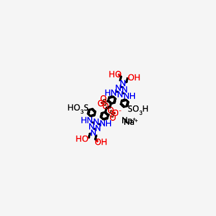 O=S(=O)([O-])c1cc(Nc2nc(Nc3cccc(S(=O)(=O)O)c3)nc(N(CCO)CCO)n2)ccc1/C=C/c1ccc(Nc2nc(Nc3cccc(S(=O)(=O)O)c3)nc(N(CCO)CCO)n2)cc1S(=O)(=O)[O-].[Na+].[Na+]